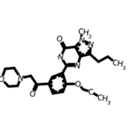 CCCOc1ccc(C(=O)CN2CCOCC2)cc1C1=Nc2c(CCC)nn(C)c2C(=O)[N]1